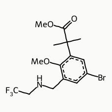 COC(=O)C(C)(C)c1cc(Br)cc(CNCC(F)(F)F)c1OC